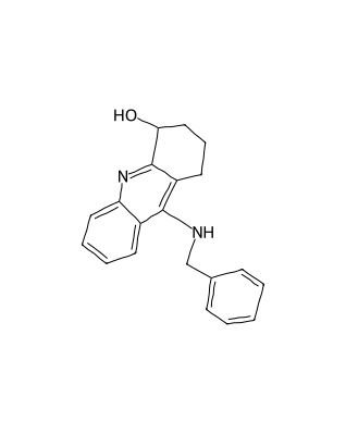 OC1CCCc2c1nc1ccccc1c2NCc1ccccc1